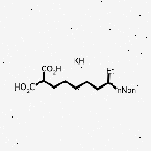 CCCCCCCCCC(CC)CCCCCC(C(=O)O)C(=O)O.[KH]